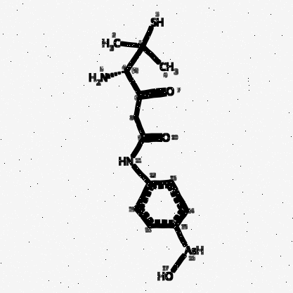 CC(C)(S)[C@@H](N)C(=O)CC(=O)Nc1ccc([AsH]O)cc1